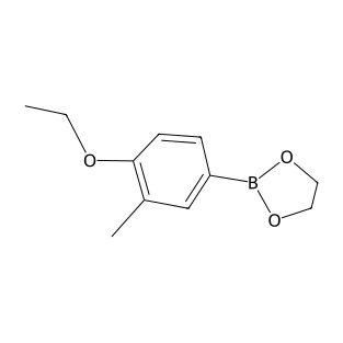 CCOc1ccc(B2OCCO2)cc1C